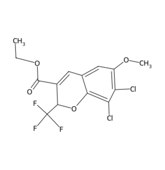 CCOC(=O)C1=Cc2cc(OC)c(Cl)c(Cl)c2OC1C(F)(F)F